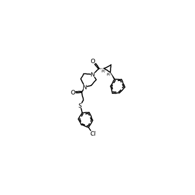 O=C(CSc1ccc(Cl)cc1)N1CCN(C(=O)[C@@H]2C[C@H]2c2ccccc2)CC1